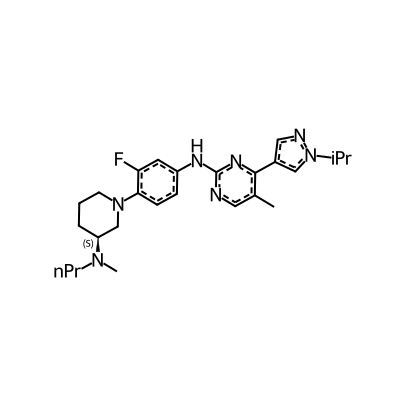 CCCN(C)[C@H]1CCCN(c2ccc(Nc3ncc(C)c(-c4cnn(C(C)C)c4)n3)cc2F)C1